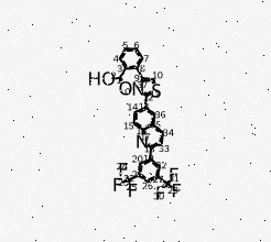 O=C(O)c1ccccc1-c1csc(-c2ccc3nc(-c4cc(C(F)(F)F)cc(C(F)(F)F)c4)ccc3c2)n1